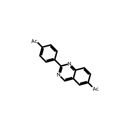 CC(=O)c1ccc(-c2ncc3cc(C(C)=O)ccc3n2)cc1